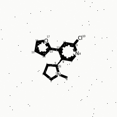 CN1CCC[C@H]1c1cnc(Cl)cc1-c1ccco1